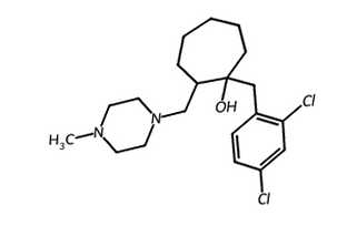 CN1CCN(CC2CCCCCC2(O)Cc2ccc(Cl)cc2Cl)CC1